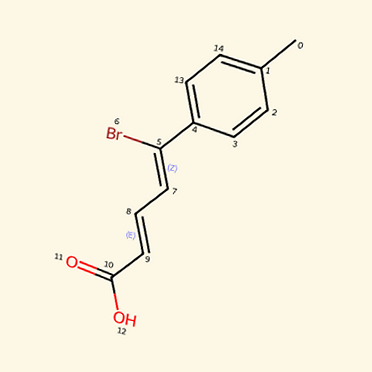 Cc1ccc(/C(Br)=C/C=C/C(=O)O)cc1